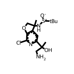 CC(O)(CN)c1cc2c(c(Cl)n1)OCC2(C)N[S+]([O-])C(C)(C)C